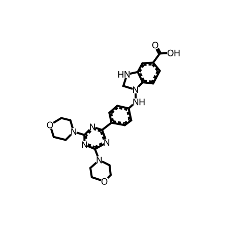 O=C(O)c1ccc2c(c1)NCN2Nc1ccc(-c2nc(N3CCOCC3)nc(N3CCOCC3)n2)cc1